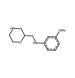 COc1cccc(NCC2CNCCO2)c1